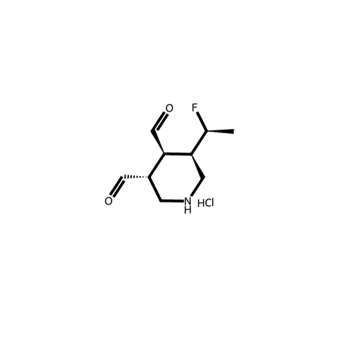 C[C@H](F)[C@H]1CNC[C@H](C=O)[C@H]1C=O.Cl